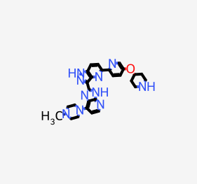 CN1CCN(c2ccnc3[nH]c(-c4n[nH]c5ccc(-c6ccc(OC7CCNCC7)cn6)nc45)nc23)CC1